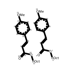 CCCCCCCCOC(=O)C=Cc1ccc(OC)cc1.CCCCCCCCOC(=O)C=Cc1ccc(OC)cc1